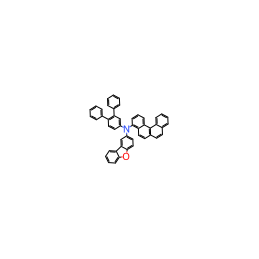 c1ccc(-c2ccc(N(c3ccc4oc5ccccc5c4c3)c3cccc4c3ccc3ccc5ccccc5c34)cc2-c2ccccc2)cc1